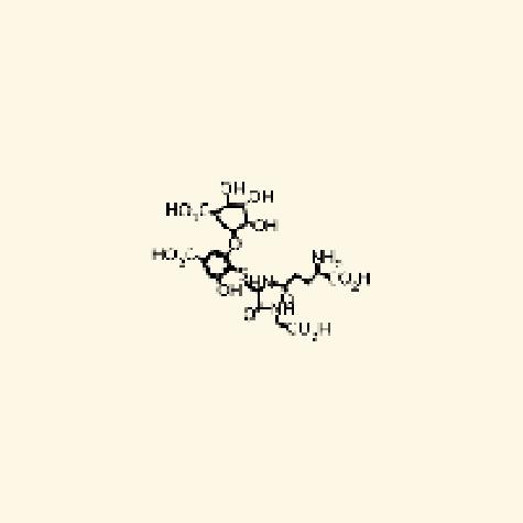 NC(CCC(=O)NC(CSc1c(O)cc(C(=O)O)cc1OC1CC(C(=O)O)[C@@H](O)[C@H](O)[C@H]1O)C(=O)NCC(=O)O)C(=O)O